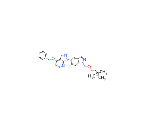 C[Si](C)(C)CCOCn1ncc2cc(-n3ncc4c(OCc5ccccc5)ncnc43)c(F)cc21